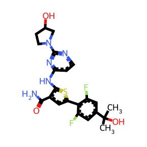 CC(C)(O)c1cc(F)c(-c2cc(C(N)=O)c(Nc3ccnc(N4CCC(O)C4)n3)s2)c(F)c1